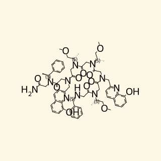 COC[C@H](C)N(CC(=O)N(CC(=O)N(CC(=O)N(CC(=O)N(CC(=O)N(CC(N)=O)[C@@H](C)c1ccccc1)Cc1ccc2cccc(O)c2n1)[C@@H](C)COC)[C@@H](C)COC)Cc1ccc2cccc(O)c2n1)C(=O)CN[C@@H](C)c1ccccc1